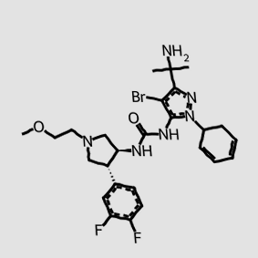 COCCN1C[C@@H](NC(=O)Nc2c(Br)c(C(C)(C)N)nn2C2C=CC=CC2)[C@H](c2ccc(F)c(F)c2)C1